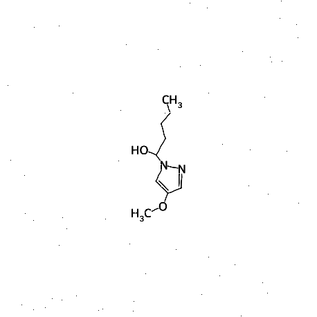 CCCCC(O)n1cc(OC)cn1